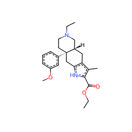 CCOC(=O)c1[nH]c2c(c1C)C[C@H]1CN(CC)CC[C@]1(c1cccc(OC)c1)C2